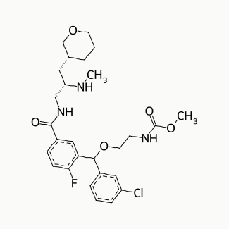 CN[C@H](CNC(=O)c1ccc(F)c(C(OCCNC(=O)OC)c2cccc(Cl)c2)c1)C[C@H]1CCCOC1